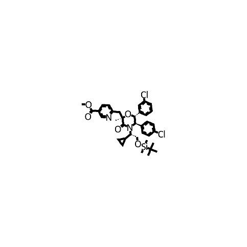 COC(=O)c1ccc(C[C@@]2(C)O[C@H](c3cccc(Cl)c3)[C@@H](c3ccc(Cl)cc3)N([C@H](CO[Si](C)(C)C(C)(C)C)C3CC3)C2=O)nc1